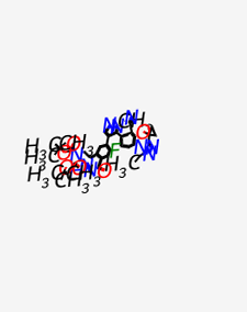 Cc1nnc2n1-c1cc(F)c(-c3c(-c4ccc5c(=O)[nH]nc(CN(C(=O)OC(C)(C)C)C(=O)OC(C)(C)C)c5c4)cnn3C)c(C#N)c1OC21CC1